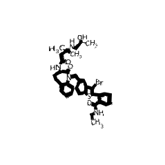 CCNC(=O)c1ccccc1-c1sc2ccc(CN3C(=O)[C@H](NC(=O)CC(C)(C)NC[C@@H](C)O)CCc4ccccc43)cc2c1Br